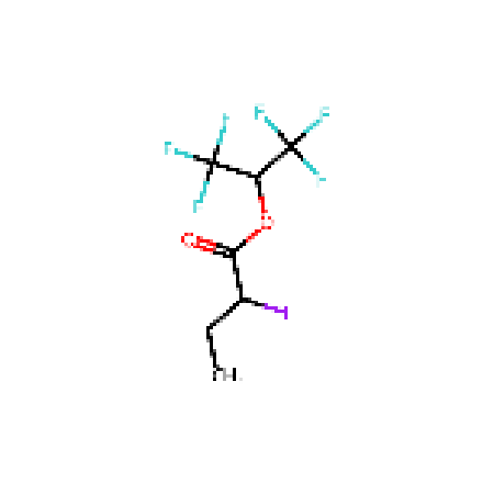 CCC(I)C(=O)OC(C(F)(F)F)C(F)(F)F